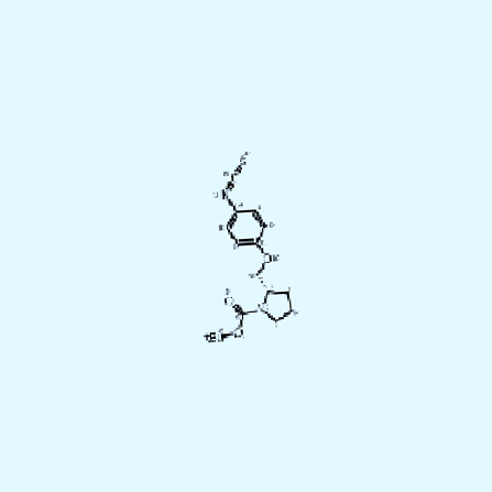 CC(C)(C)OC(=O)N1CCC[C@H]1COc1ccc(N=C=S)cc1